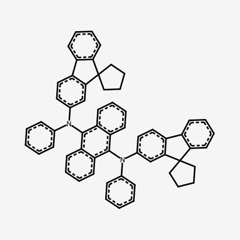 c1ccc(N(c2ccc3c(c2)C2(CCCC2)c2ccccc2-3)c2c3ccccc3c(N(c3ccccc3)c3ccc4c(c3)C3(CCCC3)c3ccccc3-4)c3ccccc23)cc1